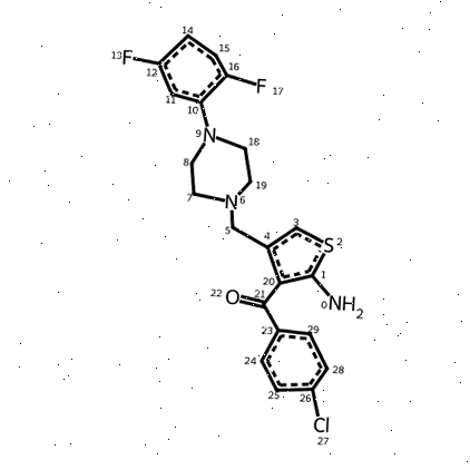 Nc1scc(CN2CCN(c3cc(F)ccc3F)CC2)c1C(=O)c1ccc(Cl)cc1